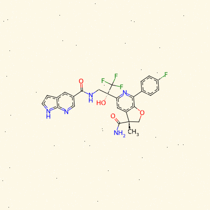 C[C@]1(C(N)=O)COc2c1cc([C@@](O)(CNC(=O)c1cnc3[nH]ccc3c1)C(F)(F)F)nc2-c1ccc(F)cc1